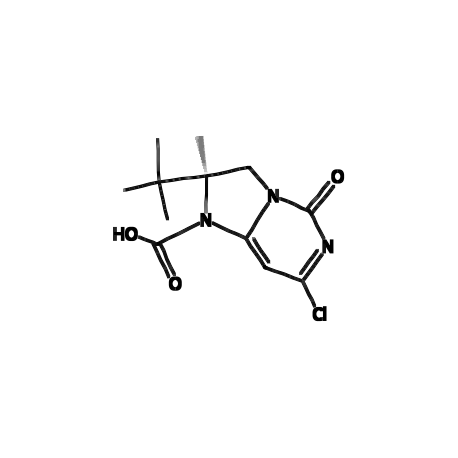 CC(C)(C)[C@@]1(C)Cn2c(cc(Cl)nc2=O)N1C(=O)O